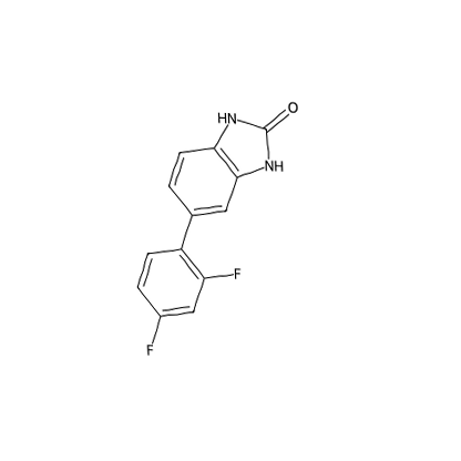 O=c1[nH]c2ccc(-c3ccc(F)cc3F)cc2[nH]1